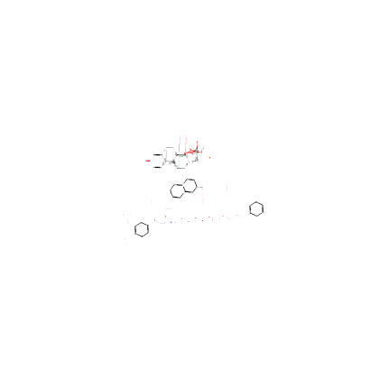 CC1(C)O[C@@H]2C[C@H]3[C@@H]4CCC5=CC(=O)C=C[C@]5(C)[C@@]4(F)[C@@H](O)C[C@]3(C)[C@]2(C(=O)CO)O1.O=C(O)c1ccc2ccccc2c1O.OCc1cc(C(O)CNCCCCCCOCCCCc2ccccc2)ccc1O